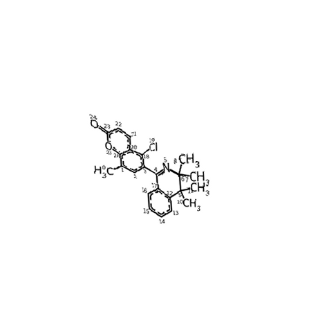 Cc1cc(C2=NC(C)(C)C(C)(C)c3ccccc32)c(Cl)c2ccc(=O)oc12